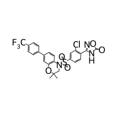 CC1(C)CN(S(=O)(=O)c2ccc(-c3noc(=O)[nH]3)c(Cl)c2)c2ccc(-c3ccc(C(F)(F)F)cc3)cc2O1